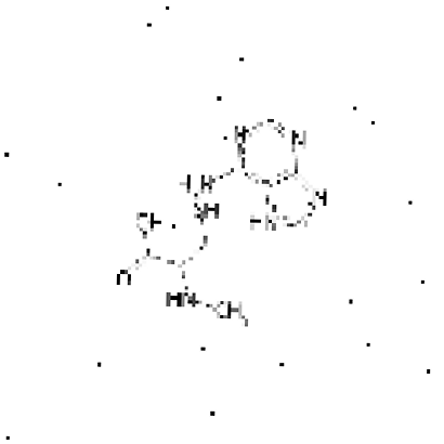 CNC(CS)C(=O)O.Nc1ncnc2nc[nH]c12